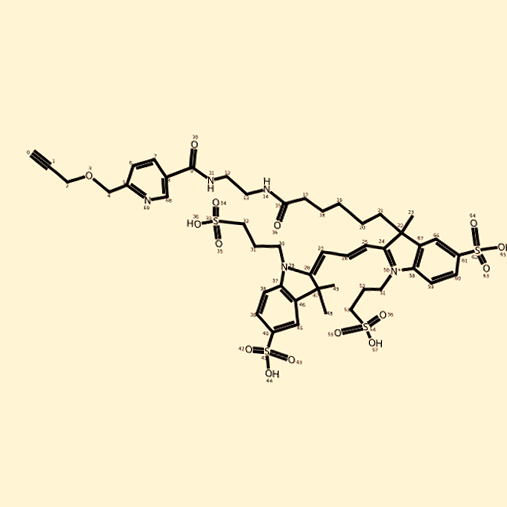 C#CCOCc1ccc(C(=O)NCCNC(=O)CCCCCC2(C)C(C=CC=C3N(CCCS(=O)(=O)O)c4ccc(S(=O)(=O)O)cc4C3(C)C)=[N+](CCCS(=O)(=O)O)c3ccc(S(=O)(=O)O)cc32)cn1